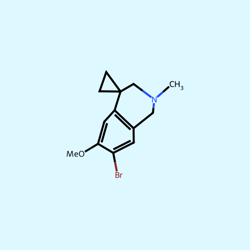 COc1cc2c(cc1Br)CN(C)CC21CC1